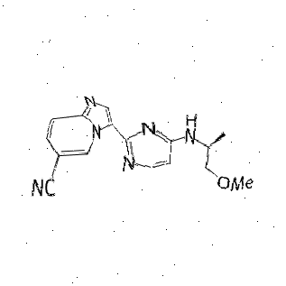 COC[C@H](C)Nc1ccnc(-c2cnc3ccc(C#N)cn23)n1